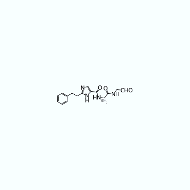 C[C@H](NC(=O)c1cnc(CCc2ccccc2)[nH]1)C(=O)NCC=O